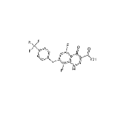 O=C(O)c1c[nH]c2c(F)c(Cc3ccc(C(F)(F)F)cc3)cc(F)c2c1=O